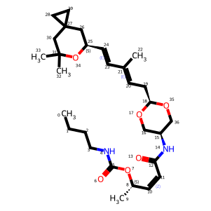 CCCCNC(=O)O[C@@H](C)/C=C\C(=O)N[C@H]1CO[C@@H](C/C=C(C)/C=C/[C@@H]2CC3(CC3)CC(C)(C)O2)OC1